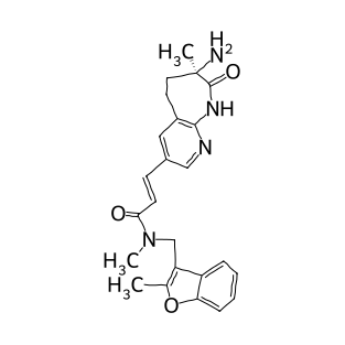 Cc1oc2ccccc2c1CN(C)C(=O)/C=C/c1cnc2c(c1)CC[C@@](C)(N)C(=O)N2